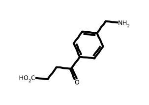 NCc1ccc(C(=O)CCC(=O)O)cc1